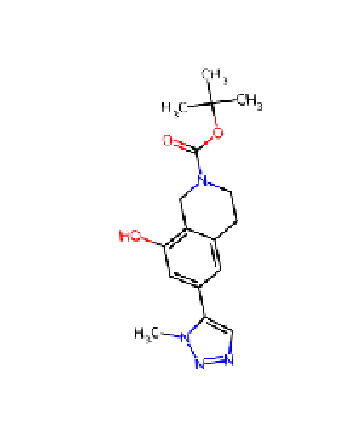 Cn1nncc1-c1cc(O)c2c(c1)CCN(C(=O)OC(C)(C)C)C2